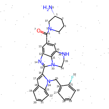 N[C@@H]1CCCN(C(=O)c2cc3c4c(c2)nc(-c2cc5ccccc5n2Cc2ccccc2F)n4CCN3)C1